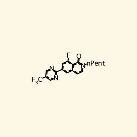 CCCCCn1ccc2cc(-c3ncc(C(F)(F)F)cn3)cc(F)c2c1=O